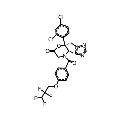 C[C@H]1N(C(=O)c2ccc(OCC(F)(F)C(F)F)cc2)CC(=O)O[C@@]1(Cn1cncn1)c1ccc(Cl)cc1Cl